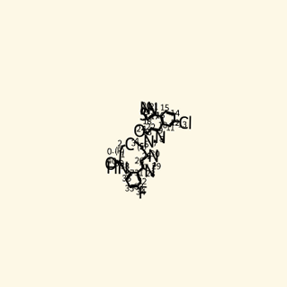 C[C@@H]1CCC[C@H](n2cnc(-c3cc(Cl)ccc3-c3csnn3)cc2=O)c2cc(ncn2)-c2cc(F)ccc2NC1=O